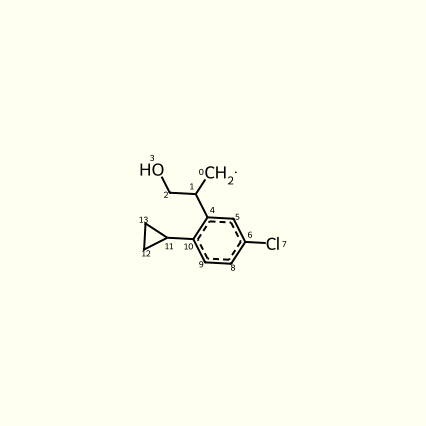 [CH2]C(CO)c1cc(Cl)ccc1C1CC1